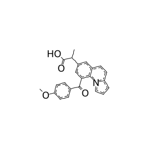 COc1ccc(C(=O)c2cc(C(C)C(=O)O)cc3ccc4cccn4c23)cc1